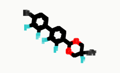 CCCC1(F)COC(c2ccc(-c3ccc(CC)c(F)c3F)c(F)c2F)OC1